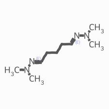 CN(C)/N=C/CCC/C=N/N(C)C